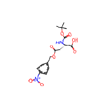 CC(C)(C)OC(=O)N[C@@H](CC(=O)OCc1ccc([N+](=O)[O-])cc1)C(=O)O